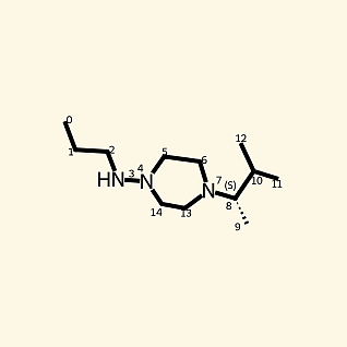 CCCNN1CCN([C@@H](C)C(C)C)CC1